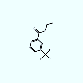 CCOC(=O)c1cc(C(F)(F)F)ccn1